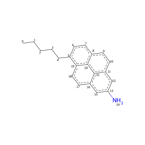 CCCCCc1ccc2ccc3cc(N)cc4ccc1c2c34